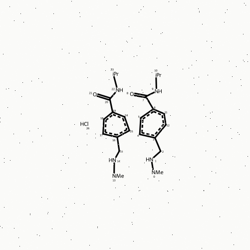 CNNCc1ccc(C(=O)NC(C)C)cc1.CNNCc1ccc(C(=O)NC(C)C)cc1.Cl